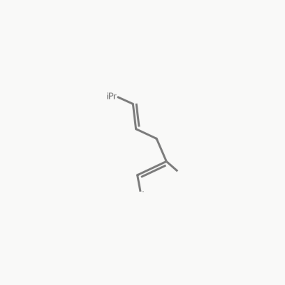 [CH2]C=C(C)CC=CC(C)C